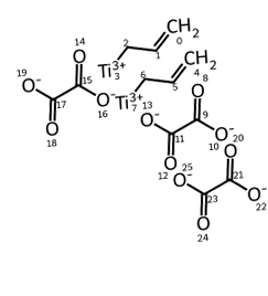 C=C[CH2][Ti+3].C=C[CH2][Ti+3].O=C([O-])C(=O)[O-].O=C([O-])C(=O)[O-].O=C([O-])C(=O)[O-]